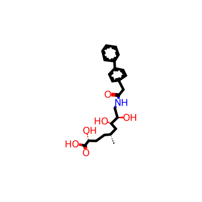 C[C@H](CC[C@@H](O)C(=O)O)C[C@H](O)[C@H](O)CNC(=O)Cc1ccc(-c2ccccc2)cc1